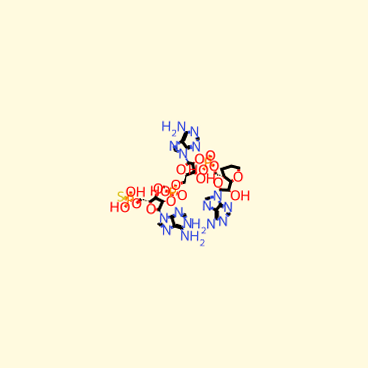 COC1[C@@H](COP(O)(O)=S)O[C@@H](n2cnc3c(N)ncnc32)[C@H]1OP(=O)(O)OC[C@H]1O[C@@H](n2cnc3c(N)ncnc32)[C@@H](OP(=O)(O)OC[C@]23CCCOC2[C@H](O)[C@H](n2cnc4c(N)ncnc42)O3)C1O